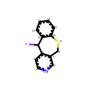 IC1c2ccncc2CSc2ccccc21